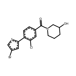 O=C(c1ccc(-c2cc(Br)cs2)c(Cl)c1)N1CCCC(O)C1